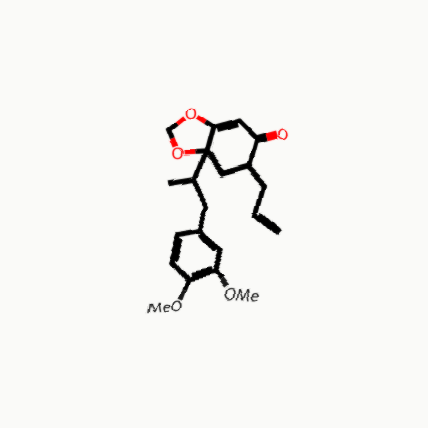 C=CCC1CC2(C(C)Cc3ccc(OC)c(OC)c3)OCOC2=CC1=O